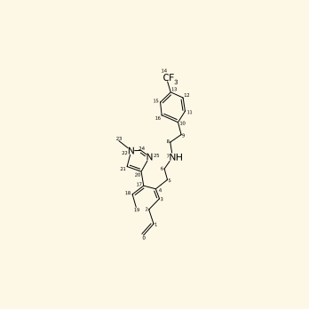 C=CC/C=C(CCNCCc1ccc(C(F)(F)F)cc1)\C(=C/C)c1cn(C)cn1